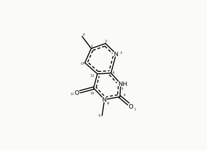 Cc1cnc2[nH]c(=O)n(C)c(=O)c2c1